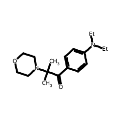 CCN(CC)c1ccc(C(=O)C(C)(C)N2CCOCC2)cc1